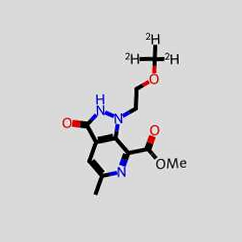 [2H]C([2H])([2H])OCCn1[nH]c(=O)c2cc(C)nc(C(=O)OC)c21